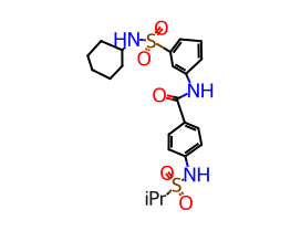 CC(C)S(=O)(=O)Nc1ccc(C(=O)Nc2cccc(S(=O)(=O)NC3CCCCC3)c2)cc1